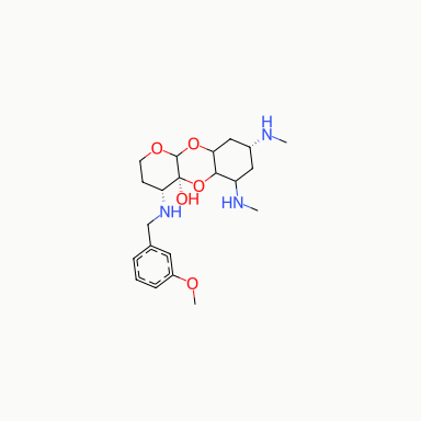 CNC1C[C@@H](NC)CC2OC3OCC[C@@H](NCc4cccc(OC)c4)[C@]3(O)OC12